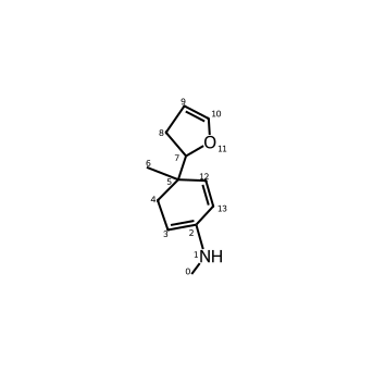 CNC1=CCC(C)(C2CC=CO2)C=C1